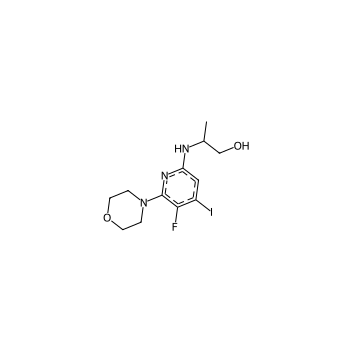 CC(CO)Nc1cc(I)c(F)c(N2CCOCC2)n1